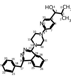 CC(C)C(O)c1ccc(N2CCN(c3nnc(Cc4ccccc4)c4ccccc34)CC2)nc1